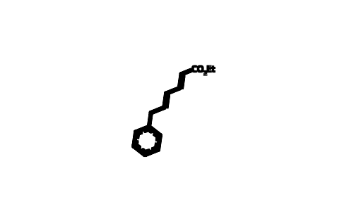 CCOC(=O)C=CC=CCc1ccccc1